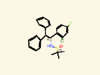 CC(C)(C)[S@@+]([O-])N[C@@H](c1ccc(F)cc1Cl)C(c1ccccc1)c1ccccc1